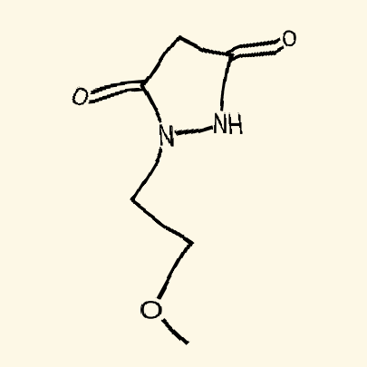 COCCN1NC(=O)CC1=O